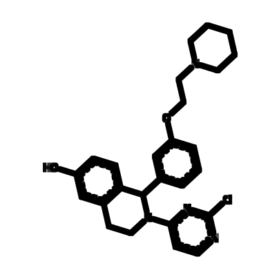 Oc1ccc2c(c1)CCN(c1ccnc(Cl)n1)C2c1cccc(OCCN2CCCCC2)c1